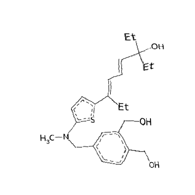 CC/C(=C\C=C\C(O)(CC)CC)c1ccc(N(C)Cc2ccc(CO)c(CO)c2)s1